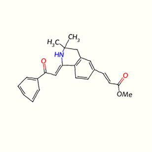 COC(=O)/C=C/c1ccc2c(c1)CC(C)(C)N/C2=C\C(=O)c1ccccc1